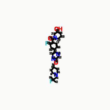 CC(C)(F)CN1CCC(COc2cnc(-c3ccc(C(=O)N4CCCC(O)C4)c(F)c3)cn2)CC1